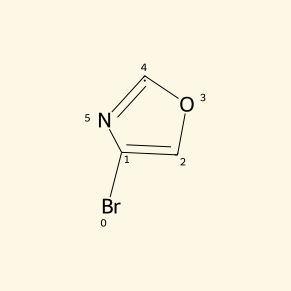 Brc1co[c]n1